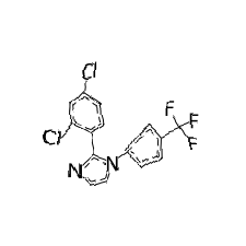 FC(F)(F)c1ccc(-n2ccnc2-c2ccc(Cl)cc2Cl)cc1